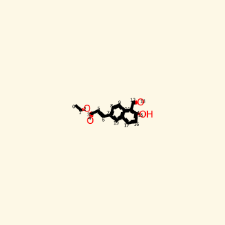 CCOC(=O)C=Cc1ccc2c(C=O)c(O)ccc2c1